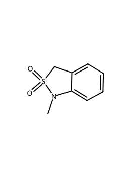 CN1c2ccccc2CS1(=O)=O